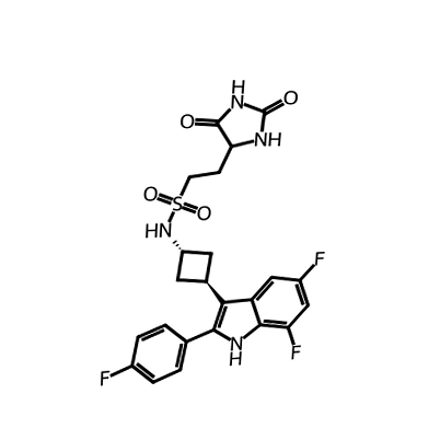 O=C1NC(=O)C(CCS(=O)(=O)N[C@H]2C[C@H](c3c(-c4ccc(F)cc4)[nH]c4c(F)cc(F)cc43)C2)N1